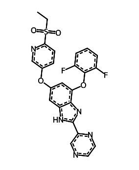 CCS(=O)(=O)c1ccc(Oc2cc(Oc3c(F)cccc3F)c3nc(-c4cnccn4)[nH]c3c2)cn1